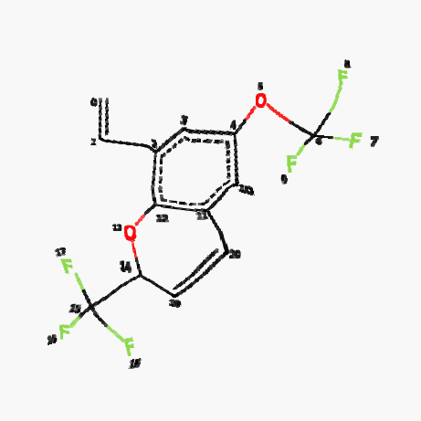 C=Cc1cc(OC(F)(F)F)cc2c1OC(C(F)(F)F)C=C2